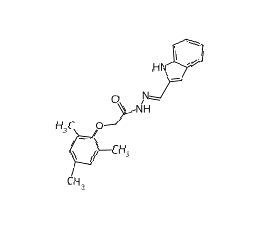 Cc1cc(C)c(OCC(=O)NN=Cc2cc3ccccc3[nH]2)c(C)c1